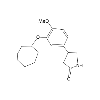 COc1ccc(C2CNC(=O)C2)cc1OC1CCCCCC1